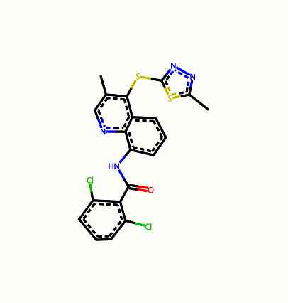 Cc1nnc(Sc2c(C)cnc3c(NC(=O)c4c(Cl)cccc4Cl)cccc23)s1